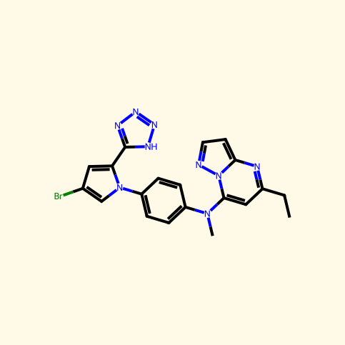 CCc1cc(N(C)c2ccc(-n3cc(Br)cc3-c3nnn[nH]3)cc2)n2nccc2n1